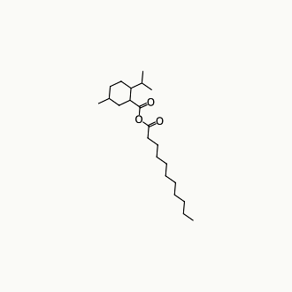 CCCCCCCCCCC(=O)OC(=O)C1CC(C)CCC1C(C)C